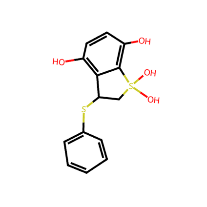 Oc1ccc(O)c2c1C(Sc1ccccc1)CS2(O)O